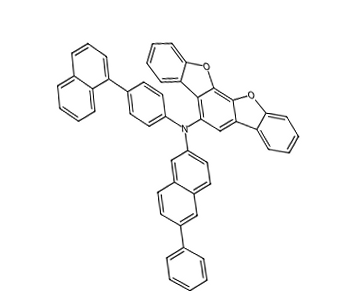 c1ccc(-c2ccc3cc(N(c4ccc(-c5cccc6ccccc56)cc4)c4cc5c6ccccc6oc5c5oc6ccccc6c45)ccc3c2)cc1